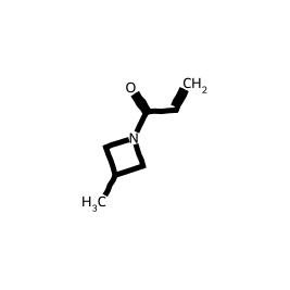 C=CC(=O)N1CC(C)C1